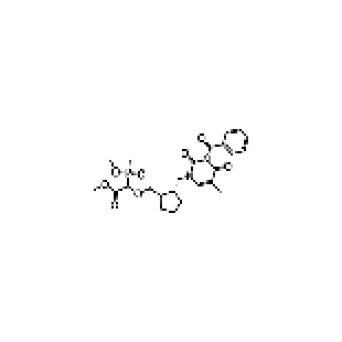 COC(=O)C(OC[C@@H]1CCC[C@H]1Cn1cc(C)c(=O)n(C(=O)c2ccccc2)c1=O)P(C)(=O)OC